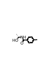 Cc1ccc(C(=O)N[C@@H](C)O)cc1